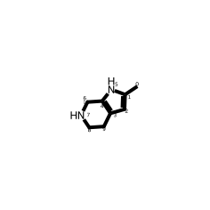 Cc1cc2c([nH]1)[C]NCC2